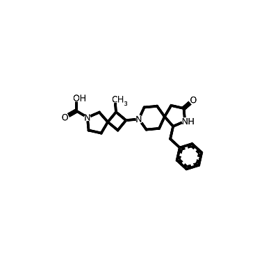 CC1C(N2CCC3(CC2)CC(=O)NC3Cc2ccccc2)CC12CCN(C(=O)O)C2